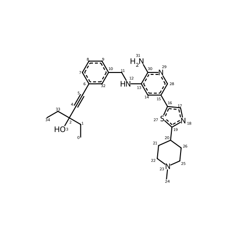 CCC(O)(C#Cc1cccc(CNc2cc(-c3cnc(C4CCN(C)CC4)s3)cnc2N)c1)CC